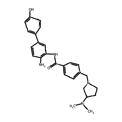 CN(C)C1CCN(Cc2ccc(C(=O)Nc3cc(-c4ccc(O)cc4)ccc3N)cc2)C1